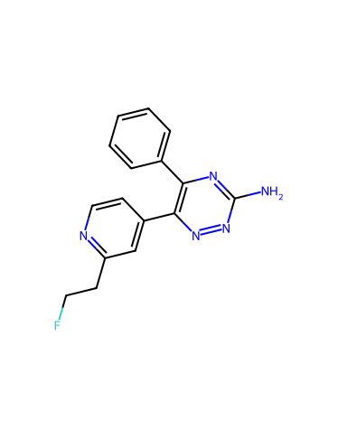 Nc1nnc(-c2ccnc(CCF)c2)c(-c2ccccc2)n1